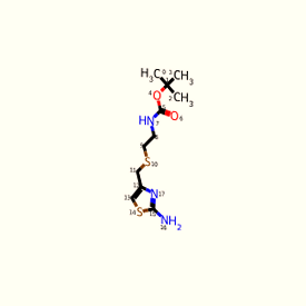 CC(C)(C)OC(=O)NCCSCc1csc(N)n1